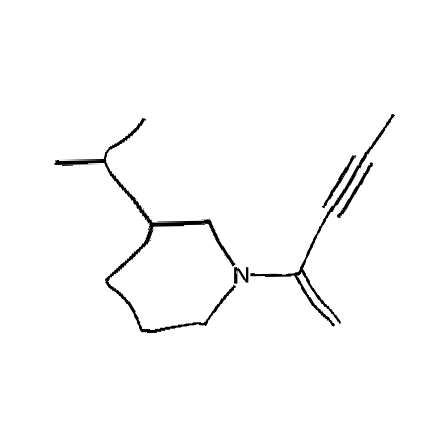 C=C(C#CC)N1CCCC(C(C)C)C1